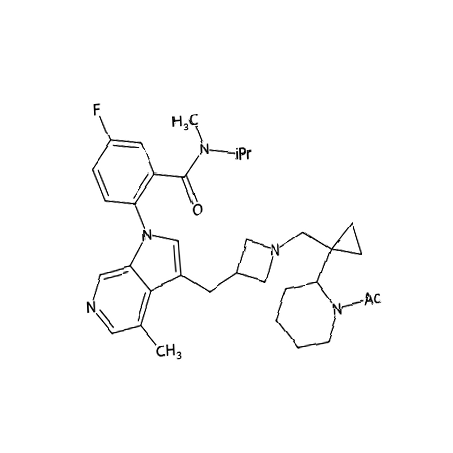 CC(=O)N1CCCCC1C1(CN2CC(Cc3cn(-c4ccc(F)cc4C(=O)N(C)C(C)C)c4cncc(C)c34)C2)CC1